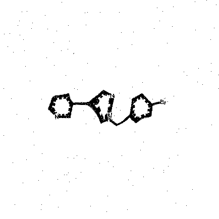 Brc1ccc(Cn2cc(-c3cccnc3)cn2)cc1